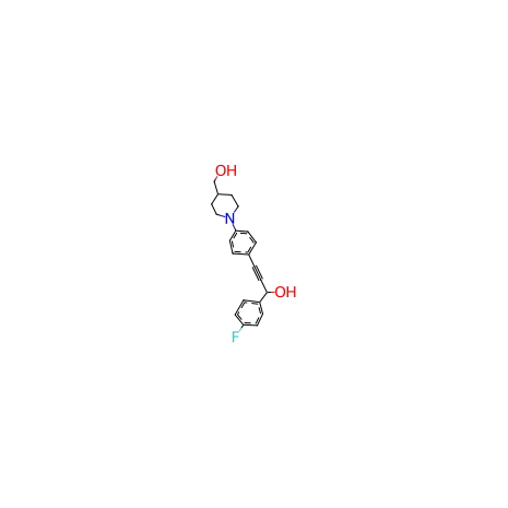 OCC1CCN(c2ccc(C#CC(O)c3ccc(F)cc3)cc2)CC1